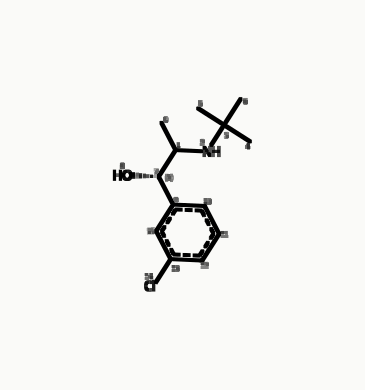 CC(NC(C)(C)C)[C@@H](O)c1cccc(Cl)c1